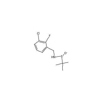 CC(C)(C)[S+]([O-])NCc1cccc(Cl)c1F